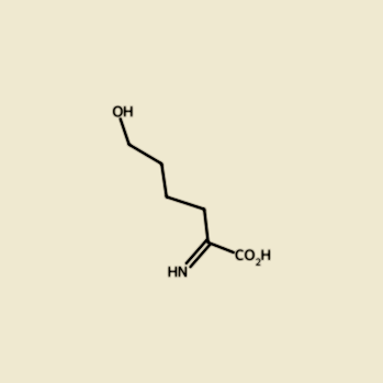 N=C(CCCCO)C(=O)O